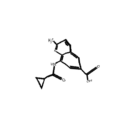 Cc1ccc2cc(C(=O)O)cc(NC(=O)C3CC3)c2n1